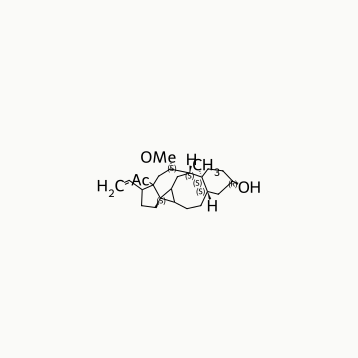 C=CC1CC[C@]23C4CC[C@H]5C[C@H](O)CC[C@]5(C)[C@H](CC42)[C@@H](OC)CC13C(C)=O